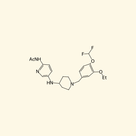 CCOc1cc(CN2CCC(Nc3ccc(NC(C)=O)nc3)CC2)ccc1OC(F)F